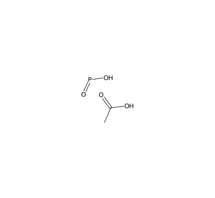 CC(=O)O.O=PO